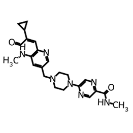 CNC(=O)c1cnc(N2CCN(Cc3cnc(/C=C(\C=O)C4CC4)c(NC)c3)CC2)cn1